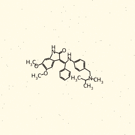 COc1cc2c(cc1OC)/C(=C(/Nc1ccc(CN(C)C(C)C)cc1)c1ccccc1)C(=O)N2